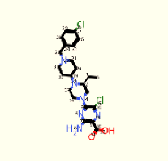 CC[C@H]1CN(c2nc(N)c(C(=O)O)nc2Cl)CCN1C1CCN(Cc2ccc(Cl)cc2)CC1